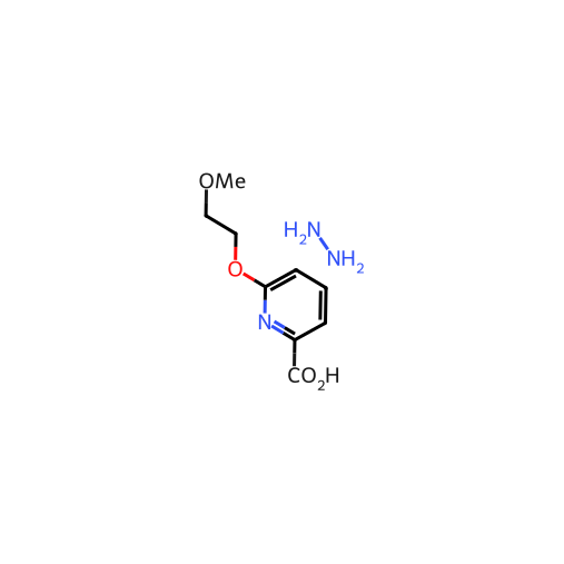 COCCOc1cccc(C(=O)O)n1.NN